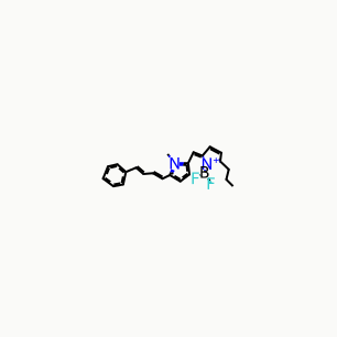 CCCC1=[N+](B(F)F)/C(=C\c2ccc(/C=C/C=C/c3ccccc3)n2C)C=C1